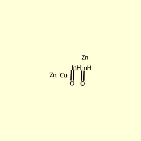 [Cu].[O]=[InH].[O]=[InH].[Zn].[Zn]